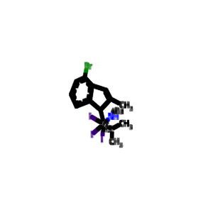 CC1=Cc2c(Br)cccc2[CH]1[Zr]([I])([I])([I])([NH]C(C)(C)C)[SiH](C)C